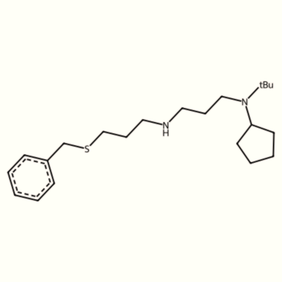 CC(C)(C)N(CCCNCCCSCc1ccccc1)C1CCCC1